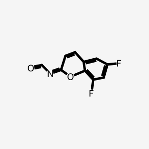 O=CN=c1ccc2cc(F)cc(F)c2o1